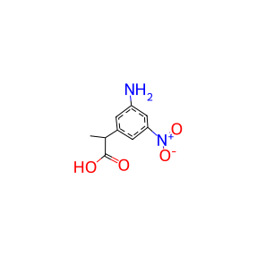 CC(C(=O)O)c1cc(N)cc([N+](=O)[O-])c1